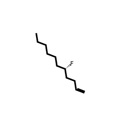 C=CCC[C@@H](F)CCCCCC